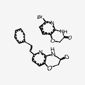 O=C1COc2ccc(Br)nc2N1.O=C1COc2ccc(C=Cc3ccccc3)nc2N1